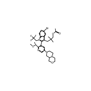 CO[C@@H](C)c1ncc(N2CCN3CCOCC3C2)cc1-c1c(CC(C)(C)COC(C)=O)c2cc(Br)ccc2n1CC(F)(F)F